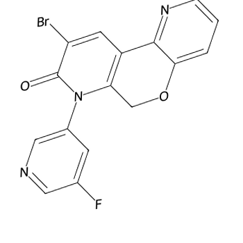 O=c1c(Br)cc2c(n1-c1cncc(F)c1)COc1cccnc1-2